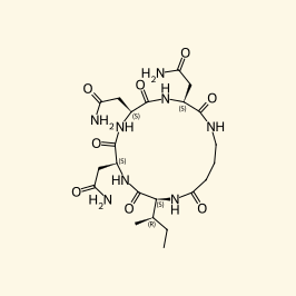 CC[C@@H](C)[C@@H]1NC(=O)CCCNC(=O)[C@H](CC(N)=O)NC(=O)[C@H](CC(N)=O)NC(=O)[C@H](CC(N)=O)NC1=O